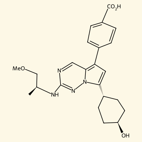 COC[C@H](C)Nc1ncc2c(-c3ccc(C(=O)O)cc3)cc([C@H]3CC[C@H](O)CC3)n2n1